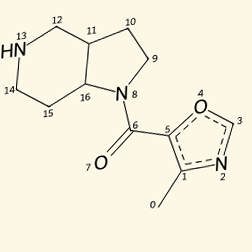 Cc1ncoc1C(=O)N1CCC2CNCCC21